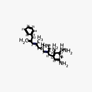 C=C(/C=C(\C)CN/C=C(\C=N)Cc1cc(N)nc(NN)c1N)Cc1ccccc1